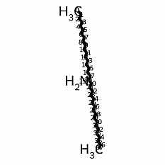 CCCCC/C=C/C/C=C/CCCCCCCCC(N)CCCCCCCC/C=C/C/C=C/CCCCC